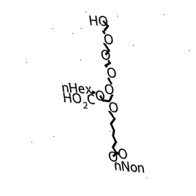 CCCCCCCCCOC(=O)CCCCCCCOC(COCCOCCOCCOCCO)COC(CCCCCC)C(=O)O